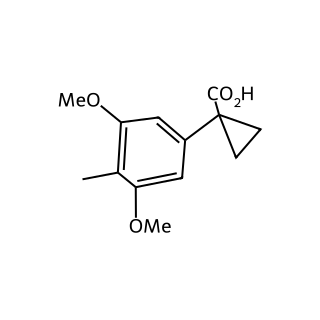 COc1cc(C2(C(=O)O)CC2)cc(OC)c1C